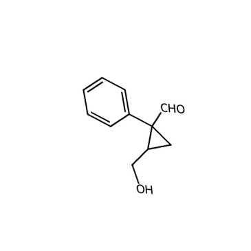 O=CC1(c2ccccc2)CC1CO